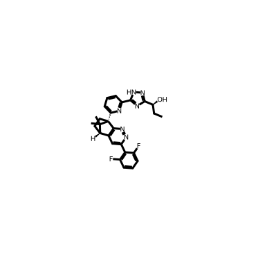 CC[C@H](O)c1n[nH]c(-c2cccc([C@]34CC[C@@H](c5cc(-c6c(F)cccc6F)nnc53)C4(C)C)n2)n1